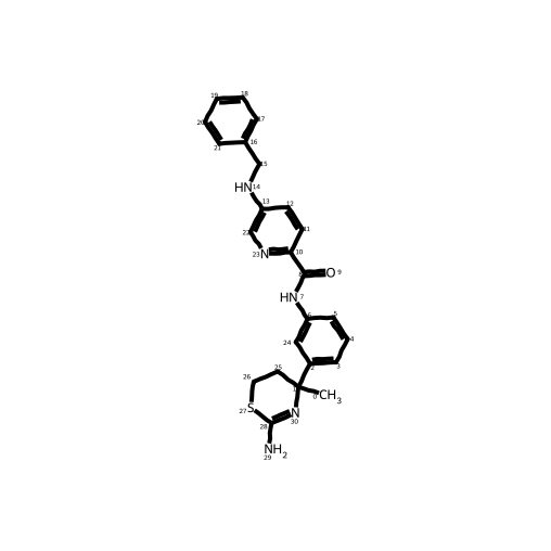 CC1(c2cccc(NC(=O)c3ccc(NCc4ccccc4)cn3)c2)CCSC(N)=N1